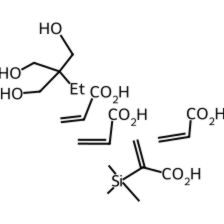 C=C(C(=O)O)[Si](C)(C)C.C=CC(=O)O.C=CC(=O)O.C=CC(=O)O.CCC(CO)(CO)CO